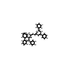 O=C(O)C(=C/C=C1/C=C(c2ccccc2)C=C(c2ccccc2)O1)/N=C(/B(c1ccccc1)c1ccccc1)c1ccccc1